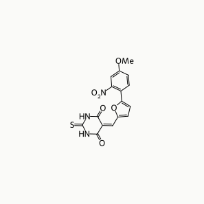 COc1ccc(-c2ccc(C=C3C(=O)NC(=S)NC3=O)o2)c([N+](=O)[O-])c1